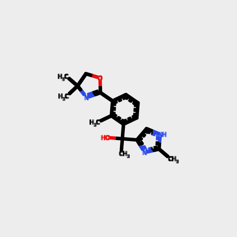 Cc1nc(C(C)(O)c2cccc(C3=NC(C)(C)CO3)c2C)c[nH]1